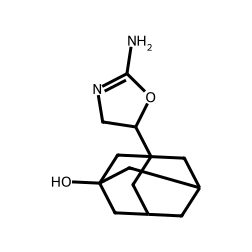 NC1=NCC(C23CC4CC(CC(O)(C4)C2)C3)O1